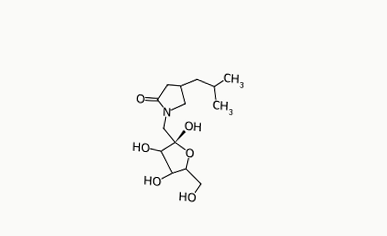 CC(C)CC1CC(=O)N(C[C@]2(O)OC(CO)C(O)C2O)C1